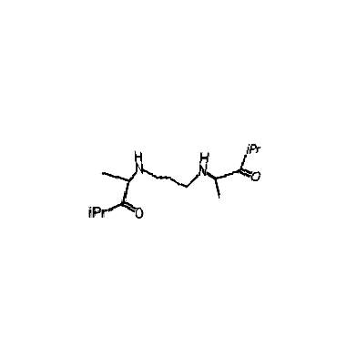 CC(C)C(=O)C(C)NCCCNC(C)C(=O)C(C)C